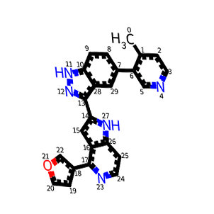 Cc1ccncc1-c1ccc2[nH]nc(-c3cc4c(-c5ccoc5)nccc4[nH]3)c2c1